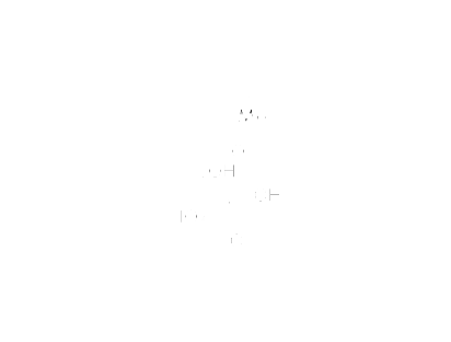 O=P(O)(O)O.[O]=[Mo]